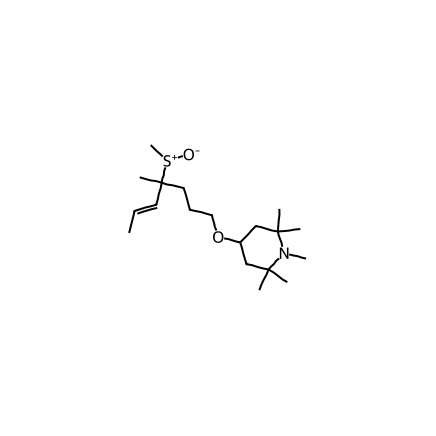 CC=CC(C)(CCCOC1CC(C)(C)N(C)C(C)(C)C1)[S+](C)[O-]